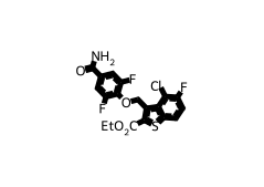 CCOC(=O)c1sc2ccc(F)c(Cl)c2c1COc1c(F)cc(C(N)=O)cc1F